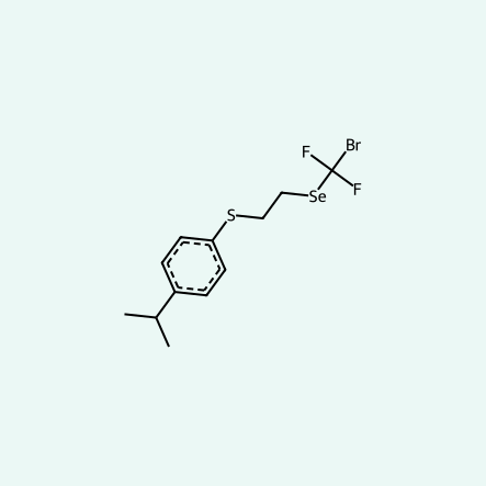 CC(C)c1ccc(SCC[Se]C(F)(F)Br)cc1